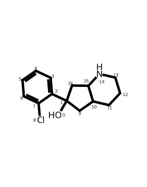 OC1(c2ccccc2Cl)CC2CCCNC2C1